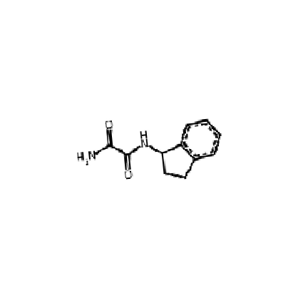 NC(=O)C(=O)NC1CCc2ccccc21